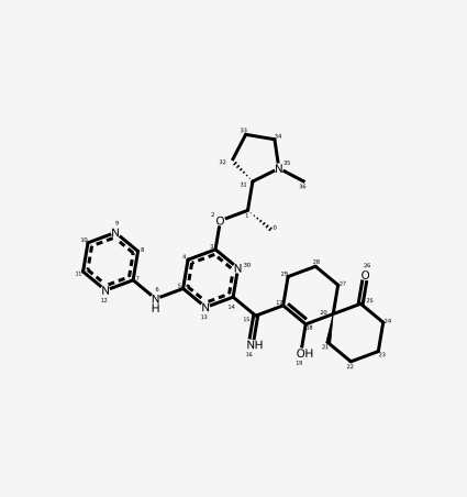 C[C@H](Oc1cc(Nc2cnccn2)nc(C(=N)C2=C(O)[C@]3(CCCCC3=O)CCC2)n1)[C@@H]1CCCN1C